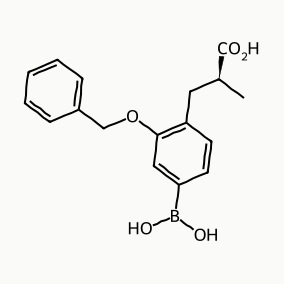 C[C@@H](Cc1ccc(B(O)O)cc1OCc1ccccc1)C(=O)O